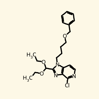 CCOC(OCC)c1nc2c(Cl)nccc2n1CCCCOCc1ccccc1